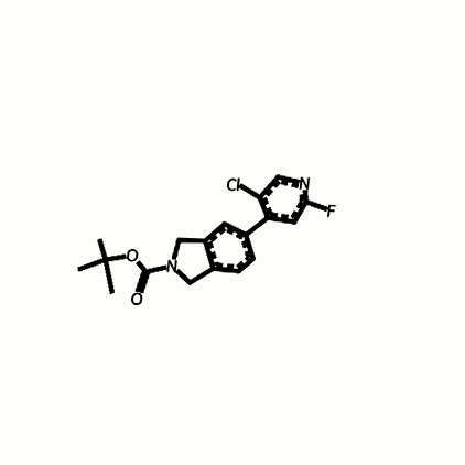 CC(C)(C)OC(=O)N1Cc2ccc(-c3cc(F)ncc3Cl)cc2C1